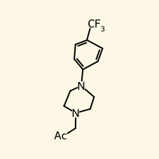 CC(=O)CN1CCN(c2ccc(C(F)(F)F)cc2)CC1